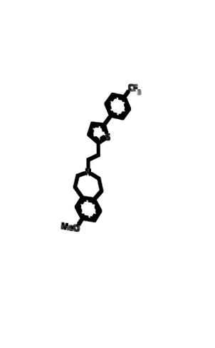 COc1ccc2c(c1)CCN(CCc1ccc(-c3ccc(C(F)(F)F)cc3)s1)CC2